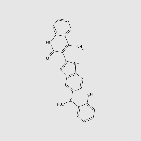 Cc1ccccc1N(C)c1ccc2[nH]c(-c3c(N)c4ccccc4[nH]c3=O)nc2c1